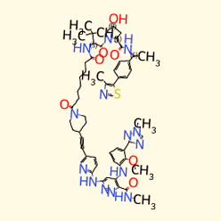 CNC(=O)c1nnc(Nc2ccc(C#CC3CCN(C(=O)CCCCCCC(=O)N[C@H](C(=O)N4C[C@H](O)C[C@H]4C(=O)N[C@@H](C)c4ccc(-c5scnc5C)cc4)C(C)(C)C)CC3)cn2)cc1Nc1cccc(-c2ncn(C)n2)c1OC